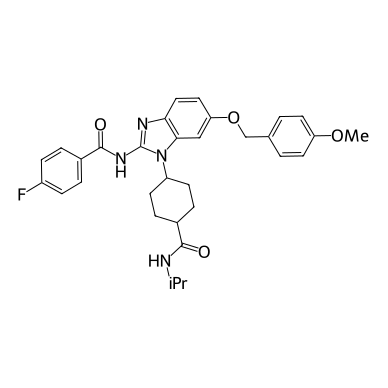 COc1ccc(COc2ccc3nc(NC(=O)c4ccc(F)cc4)n(C4CCC(C(=O)NC(C)C)CC4)c3c2)cc1